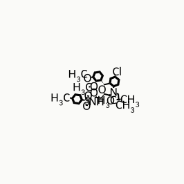 COc1cccc([C@H]2O[C@H](CC(=O)NS(=O)(=O)c3ccc(C)cc3)C(=O)N(CC(C)(C)C)c3ccc(Cl)cc32)c1OC